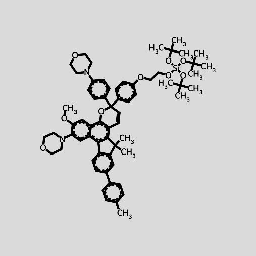 COc1cc2c3c(c4c(c2cc1N1CCOCC1)-c1ccc(-c2ccc(C)cc2)cc1C4(C)C)C=CC(c1ccc(OCCO[Si](OC(C)(C)C)(OC(C)(C)C)OC(C)(C)C)cc1)(c1ccc(N2CCOCC2)cc1)O3